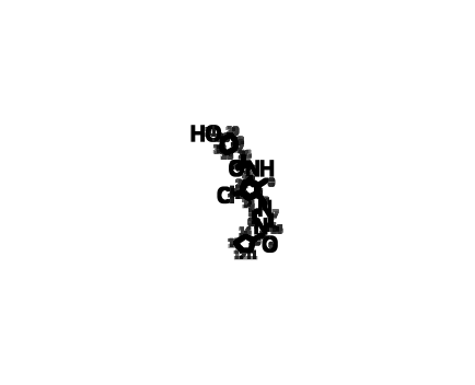 Cc1c(CN2CCN(C(=O)C3CCCC3)[C@@H](C)C2)cc(Cl)cc1NC(=O)C[C@H]1CC[C@H](O)CC1